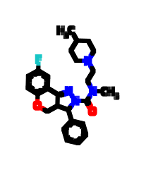 CC1CCN(CCN(C)C(=O)N2N=C3c4cc(F)ccc4OCC3C2c2ccccc2)CC1